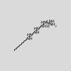 CCCCCCCCCCCCNCCNCCNCCNCCNCCNC(C)NC(=N)N